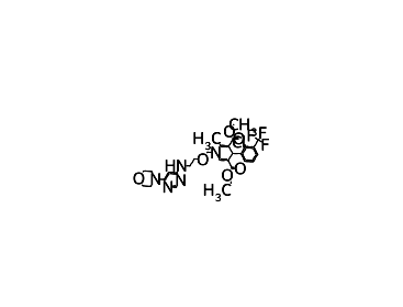 CCOC(=O)C1=CN(COCCNc2cc(N3CCOCC3)ncn2)C(C)=C(C(=O)OC)C1c1cccc(C(F)(F)F)c1Cl